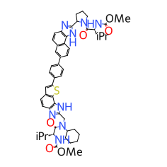 COC(=O)N[C@H](C(=O)N(Cc1nc2ccc3cc(-c4ccc(-c5ccc6c(ccc7nc(C8CCCN8C(=O)[C@@H](NC(=O)OC)C(C)C)[nH]c76)c5)cc4)sc3c2[nH]1)C1CCCCC1)C(C)C